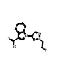 CCC(=O)c1cn(-c2cnn(CCF)c2)c2ccccc12